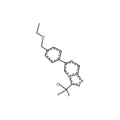 CCOCc1ccc(-c2cn3c(C(F)(F)Cl)nnc3cn2)cc1